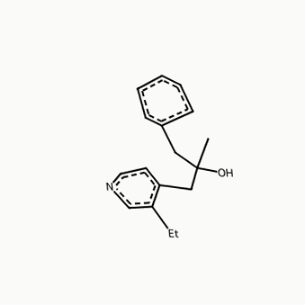 CCc1cnccc1CC(C)(O)Cc1ccccc1